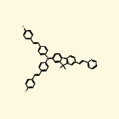 CC1(C)c2cc(/C=C/c3ccccc3)ccc2-c2ccc(N(c3ccc(/C=C/c4ccc(F)cc4)cc3)c3ccc(/C=C/c4ccc(F)cc4)cc3)cc21